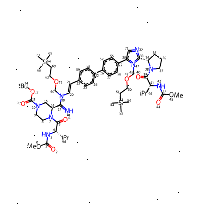 COC(=O)N[C@H](C(=O)N1CCN(C(=O)OC(C)(C)C)C[C@H]1C(=N)N(/C=C/c1ccc(-c2ccc(-c3cnc([C@@H]4CCCN4C(=O)[C@@H](NC(=O)OC)C(C)C)n3COCC[Si](C)(C)C)cc2)cc1)COCC[Si](C)(C)C)C(C)C